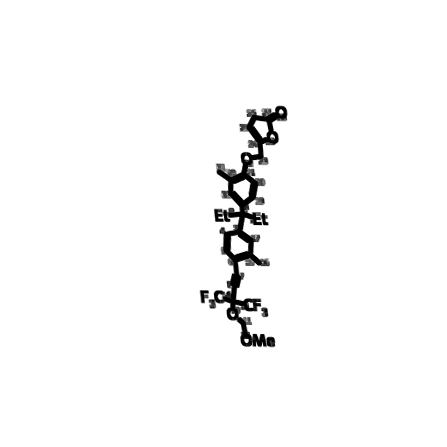 CCC(CC)(c1ccc(C#CC(OCOC)(C(F)(F)F)C(F)(F)F)c(C)c1)c1ccc(OCC2=CCC(=O)O2)c(C)c1